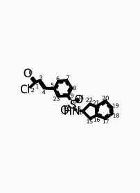 O=C(Cl)/C=C/c1cccc(S(=O)(=O)NC2Cc3ccccc3C2)c1